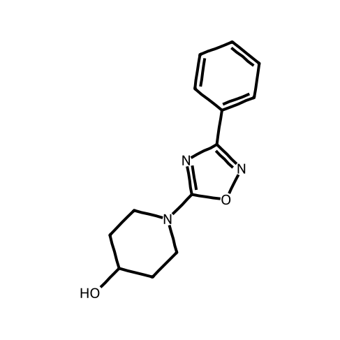 OC1CCN(c2nc(-c3ccccc3)no2)CC1